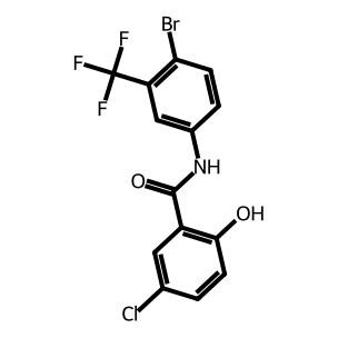 O=C(Nc1ccc(Br)c(C(F)(F)F)c1)c1cc(Cl)ccc1O